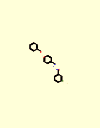 O=C(NCc1ccc(OCc2ccccc2)cc1)c1cccc(Br)c1